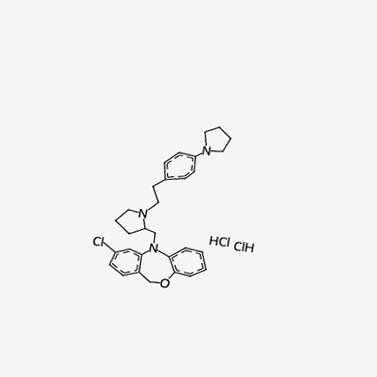 Cl.Cl.Clc1ccc2c(c1)N(CC1CCCN1CCc1ccc(N3CCCC3)cc1)c1ccccc1OC2